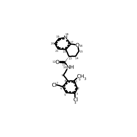 Cc1cc(Cl)cc(Cl)c1CNC(=O)[C@H]1CCOc2ncccc21